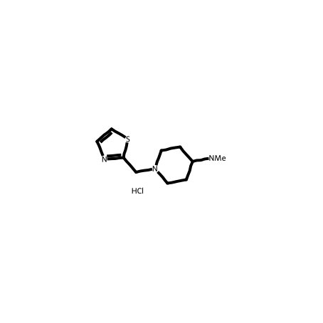 CNC1CCN(Cc2nccs2)CC1.Cl